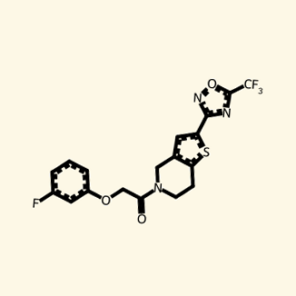 O=C(COc1cccc(F)c1)N1CCc2sc(-c3noc(C(F)(F)F)n3)cc2C1